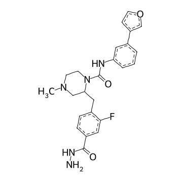 CN1CCN(C(=O)Nc2cccc(-c3ccoc3)c2)C(Cc2ccc(C(=O)NN)cc2F)C1